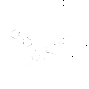 CC(=O)C1CC2(CC(NC(=O)c3csc4c(C)cn(Cc5ccc(-c6ccccc6)cc5)c34)C2)C1